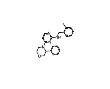 Cc1ccccc1CNc1nccc(N2CCOCC2c2ccccc2)n1